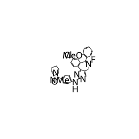 CNC1CC2CCC1N2C(=O)c1ccc(Nc2ncc3c(n2)-c2ccc(Cl)cc2C(c2c(F)cccc2OC)=NC3)cc1